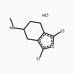 CNC1CCc2c(Cl)sc(Cl)c2C1.Cl